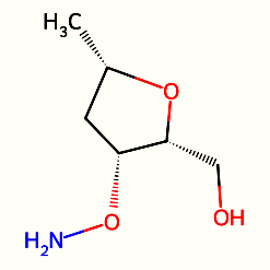 C[C@H]1C[C@@H](ON)[C@@H](CO)O1